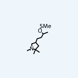 CSOC(C)CCC1CN(C)C(C)(C)C1